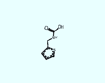 O=C(O)NCc1cccs1